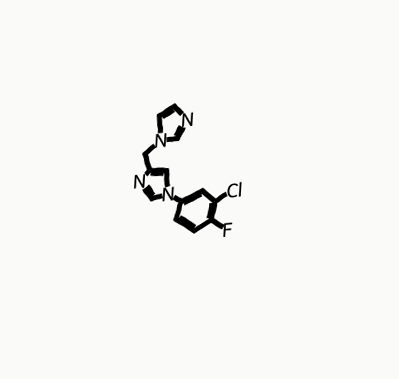 Fc1ccc(-n2cnc(Cn3ccnc3)c2)cc1Cl